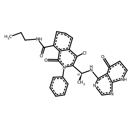 CCCNC(=O)c1cccc2c(Cl)c([C@H](C)Nc3ncnc4[nH]ccc(=O)c34)n(-c3ccccc3)c(=O)c12